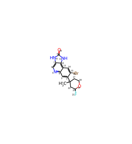 CC1(c2cc3ncc4[nH]c(=O)[nH]c4c3cc2Br)CCOC(F)C1